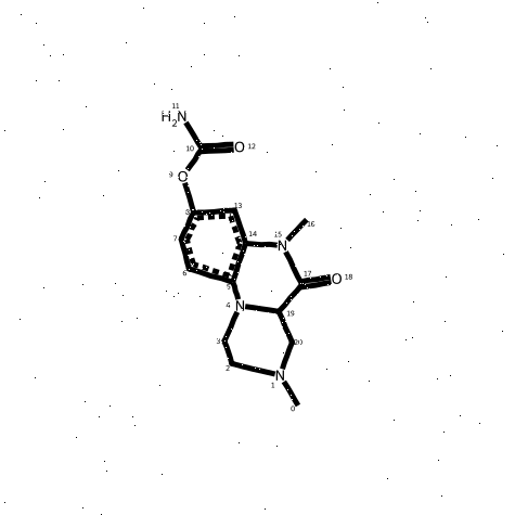 CN1CCN2c3ccc(OC(N)=O)cc3N(C)C(=O)C2C1